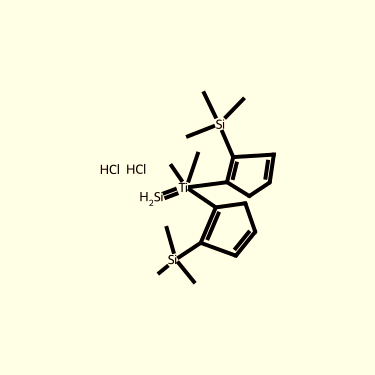 C[Si](C)(C)C1=[C]([Ti]([CH3])([CH3])(=[SiH2])[C]2=C([Si](C)(C)C)C=CC2)CC=C1.Cl.Cl